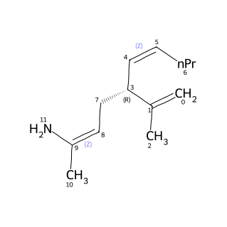 C=C(C)[C@@H](/C=C\CCC)C/C=C(/C)N